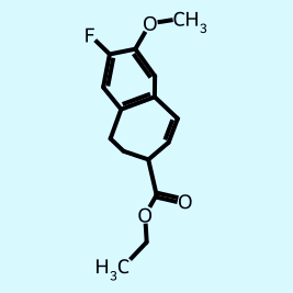 CCOC(=O)C1C=Cc2cc(OC)c(F)cc2CC1